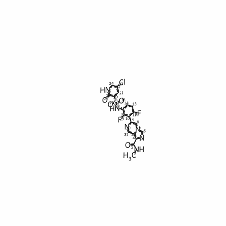 CNC(=O)c1ncn2cc(-c3c(F)ccc(NS(=O)(=O)c4cc(Cl)c[nH]c4=O)c3F)ncc12